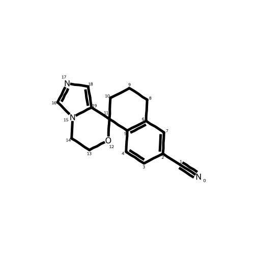 N#Cc1ccc2c(c1)CCCC21OCCn2cncc21